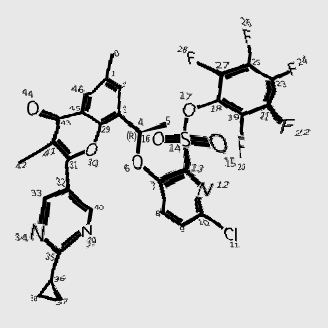 Cc1cc([C@@H](C)Oc2ccc(Cl)nc2S(=O)(=O)Oc2c(F)c(F)c(F)c(F)c2F)c2oc(-c3cnc(C4CC4)nc3)c(C)c(=O)c2c1